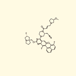 CO[C@@H]1CCN(C/C=C/C(=O)N2CCN(c3nc(OC[C@@]45CCCN4C[C@H](F)C5)nc4c(F)c(-c5cccc6ccc(F)c(Cl)c56)ncc34)C[C@@H]2CC#N)C1